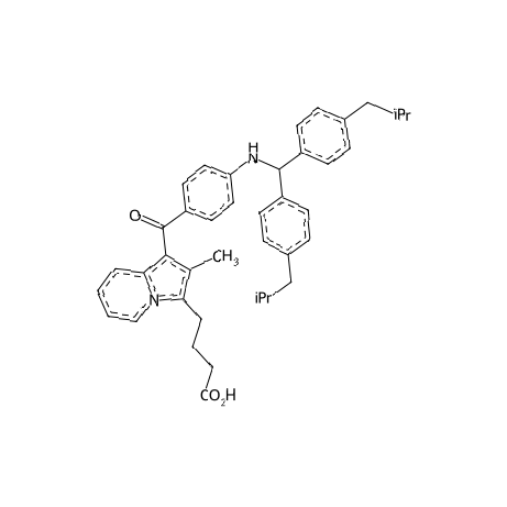 Cc1c(C(=O)c2ccc(NC(c3ccc(CC(C)C)cc3)c3ccc(CC(C)C)cc3)cc2)c2ccccn2c1CCCC(=O)O